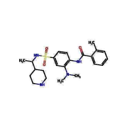 Cc1ccccc1C(=O)Nc1ccc(S(=O)(=O)NC(C)C2CCNCC2)cc1N(C)C